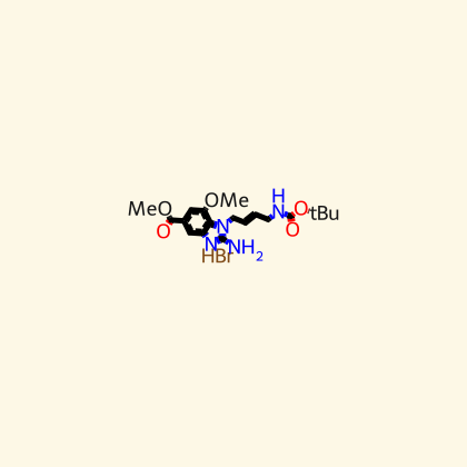 Br.COC(=O)c1cc(OC)c2c(c1)nc(N)n2C/C=C/CNC(=O)OC(C)(C)C